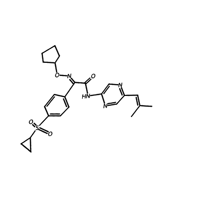 CC(C)=Cc1cnc(NC(=O)/C(=N/OC2CCCC2)c2ccc(S(=O)(=O)C3CC3)cc2)cn1